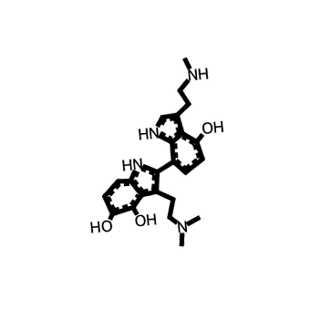 CNCCc1c[nH]c2c(-c3[nH]c4ccc(O)c(O)c4c3CCN(C)C)ccc(O)c12